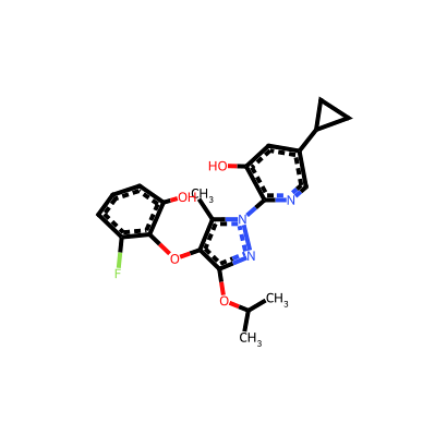 Cc1c(Oc2c(O)cccc2F)c(OC(C)C)nn1-c1ncc(C2CC2)cc1O